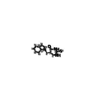 O=c1[nH]c(=S)[nH]cc1Cn1ccc2ccccc21